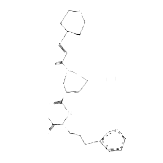 Cl.O=C(N[C@@H](CCCc1ccccc1)C(=O)O)[C@@H]1CCCN(C(=O)/C=C/C2CCNCC2)C1